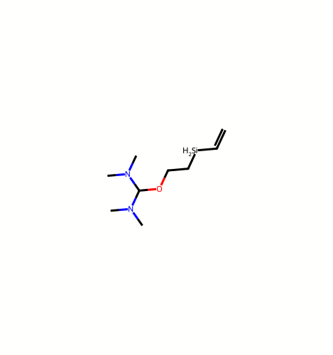 C=C[SiH2]CCOC(N(C)C)N(C)C